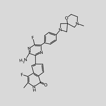 Cc1[nH]c(=O)c2ccc(-c3nc(-c4ccc(N5CC6(CN(C)CCO6)C5)cc4)c(F)nc3N)cc2c1F